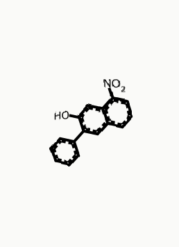 O=[N+]([O-])c1cccc2cc(-c3ccccc3)c(O)cc12